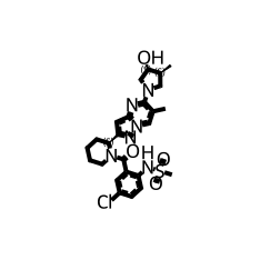 Cc1cn2nc([C@@H]3CCCCN3C(=O)c3cc(Cl)ccc3NS(C)(=O)=O)cc2nc1N1C[C@@H](O)[C@@H](C)C1